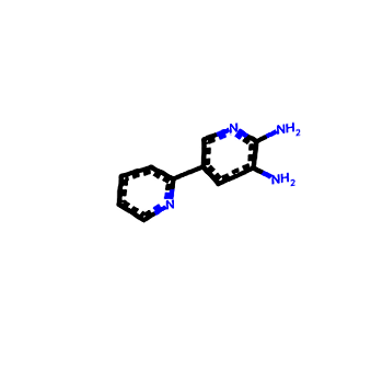 Nc1cc(-c2ccccn2)cnc1N